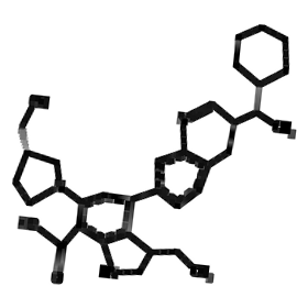 CCC1CNc2c(C(=O)O)c(N3CC[C@H](CO)C3)cc(-c3ccc4c(c3)N=CC(C(C)C3CCCCC3)C4)c21